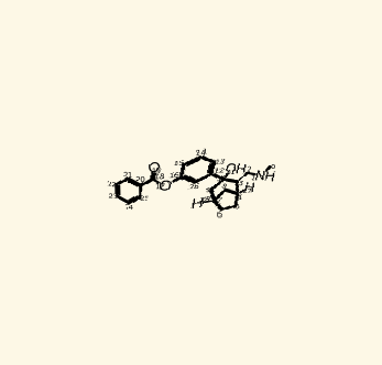 CNC[C@H]1[C@@H]2CC[C@@H](C2)C[C@]1(O)c1cccc(OC(=O)c2ccccc2)c1